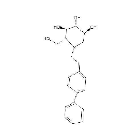 OC[C@@H]1[C@@H](O)[C@H](O)[C@@H](O)CN1CCc1ccc(-c2ccccc2)cc1